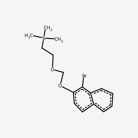 C[Si](C)(C)CCOCOc1ccc2ccccc2c1Br